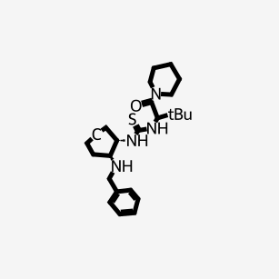 CC(C)(C)C(NC(=S)N[C@H]1CCCC[C@@H]1NCc1ccccc1)C(=O)N1CCCCC1